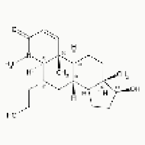 CN1C(=O)C=C[C@]2(C)[C@H]3CC[C@]4(C)[C@@H](O)CC[C@H]4[C@@H]3C[C@H](CCO)[C@@H]12